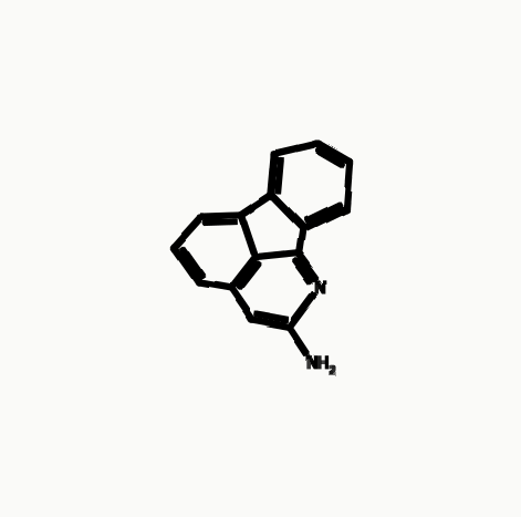 Nc1cc2cccc3c2c(n1)-c1ccccc1-3